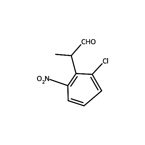 CC(C=O)c1c(Cl)cccc1[N+](=O)[O-]